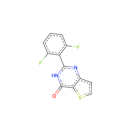 O=c1[nH]c(-c2c(F)cccc2F)nc2ccsc12